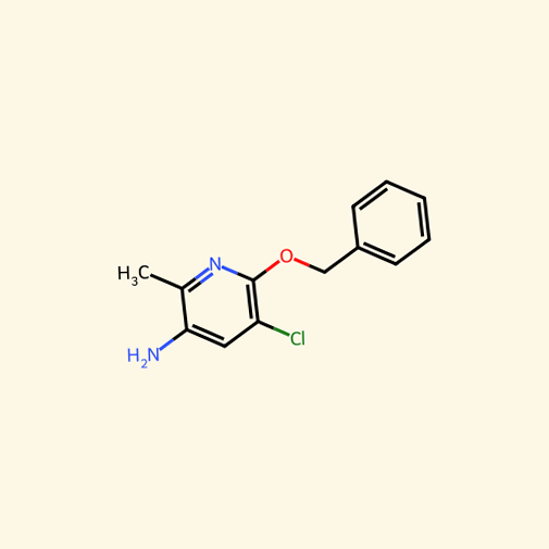 Cc1nc(OCc2ccccc2)c(Cl)cc1N